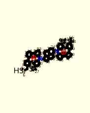 Cc1cc(C[SiH](C)C)ccc1-c1cccc2c1oc1c(N(c3ccc([Si](C)(C)C)cc3)c3ccc4ccc5c(N(c6ccc([Si](C)(C)C)cc6)c6cccc7c6oc6c(-c8ccc([Si](C)(C)C)cc8C)cccc67)ccc6ccc3c4c65)cccc12